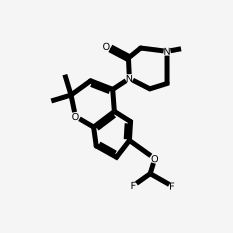 CN1CCN(C2=CC(C)(C)Oc3ccc(OC(F)F)cc32)C(=O)C1